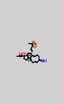 CC#C[C@]1(O)CC[C@H]2[C@@H]3CC/C=C/C(=N)CC/C=C/3[C@@H](/C=C/C3=C(C)OCO3)C[C@@]21C